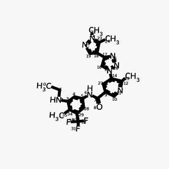 CCNc1cc(NC(=O)c2cnc(C)c(-n3cc(-c4cnn(C)c4C)nn3)c2)cc(C(F)(F)F)c1C